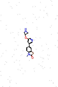 Cn1c(=O)sc2cc(-c3cncc(OC4CNC4)c3)ccc21